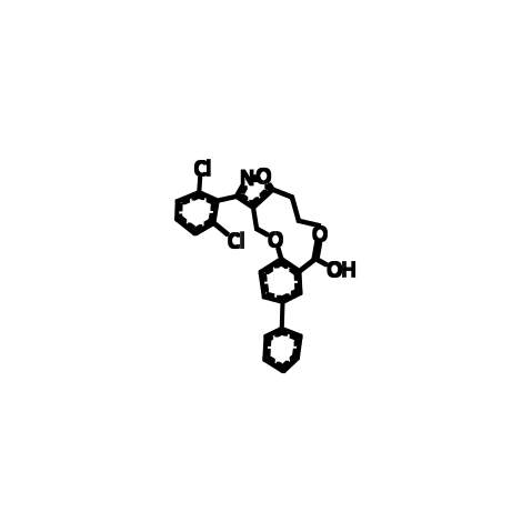 CCCc1onc(-c2c(Cl)cccc2Cl)c1COc1ccc(-c2ccccc2)cc1C(=O)O